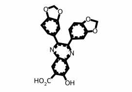 O=C(O)c1cc2nc(-c3ccc4c(c3)OCO4)c(-c3ccc4c(c3)OCO4)nc2cc1O